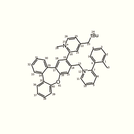 Cc1ccccc1-c1cccc[n+]1Cc1cc2c(cc1-c1cc(CC(C)(C)C)cc[n+]1C)-c1ccccc1-c1ccccc1O2